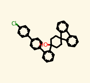 OC1(c2ccccc2-c2ccc(-c3ccc(Cl)cc3)cc2)CCC2(CC1)c1ccccc1-c1ccccc12